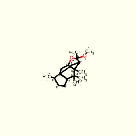 COC1(C)OC2CC34CC1C2(C)C(C)(C)C3CCC4C